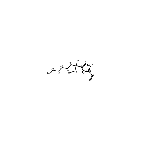 C=Cc1ncc(C(C)(CC)CCCCCC)o1